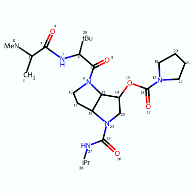 CNC(C)C(=O)NC(C(=O)N1CCC2C1C(OC(=O)N1CCCC1)CN2C(=O)NC(C)C)C(C)(C)C